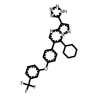 FC(F)(F)c1cccc(Oc2ccc(-c3cnc4c(-c5nnn[nH]5)cnn4c3C3CCCCC3)cc2)c1